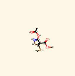 COC(=O)c1c(OC(C)=O)nsc1SC